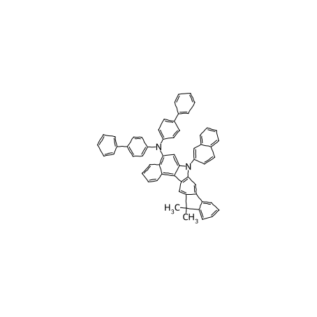 CC1(C)c2ccccc2-c2cc3c(cc21)c1c2ccccc2c(N(c2ccc(-c4ccccc4)cc2)c2ccc(-c4ccccc4)cc2)cc1n3-c1ccc2ccccc2c1